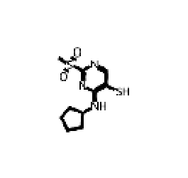 CS(=O)(=O)c1ncc(S)c(NC2CCCC2)n1